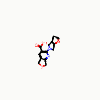 O=C(O)c1cc2c(nc1N1CC3CCOC3C1)COC2